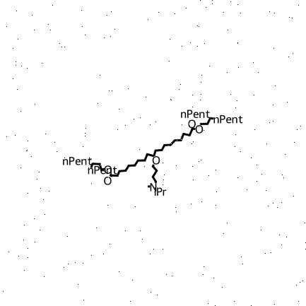 CCCCCC(CCCCC)CCOC(=O)CCCCCCCCC(CCCCCCCCC(=O)OCCC(CCCCC)CCCCC)OCCCCN(C)C(C)C